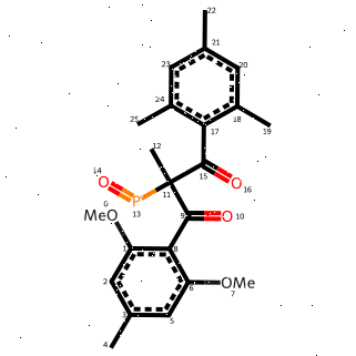 COc1cc(C)cc(OC)c1C(=O)C(C)(P=O)C(=O)c1c(C)cc(C)cc1C